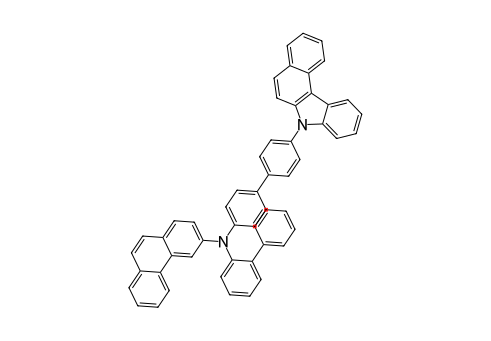 c1ccc(-c2ccccc2N(c2ccc(-c3ccc(-n4c5ccccc5c5c6ccccc6ccc54)cc3)cc2)c2ccc3ccc4ccccc4c3c2)cc1